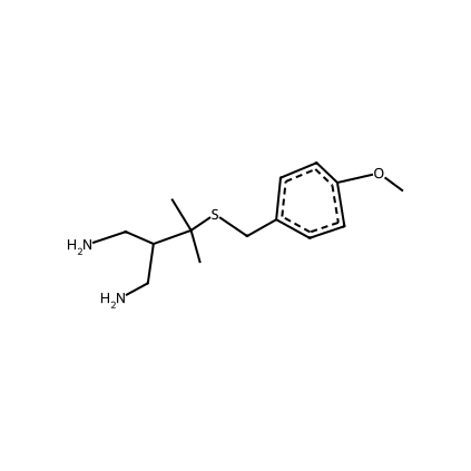 COc1ccc(CSC(C)(C)C(CN)CN)cc1